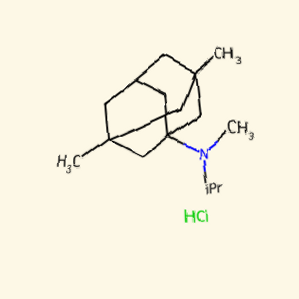 CC(C)N(C)C12CC3CC(C)(CC(C)(C3)C1)C2.Cl